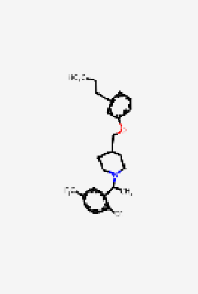 CC(c1cc(C(F)(F)F)ccc1C(F)(F)F)N1CCC(COc2cccc(CCC(=O)O)c2)CC1